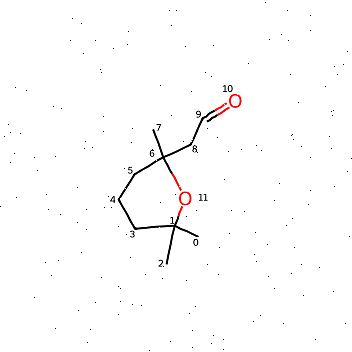 CC1(C)CCCC(C)(CC=O)O1